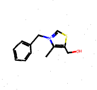 Cc1c(CO)sc[n+]1Cc1ccccc1